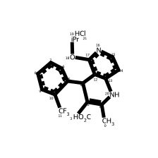 CC1=C(C(=O)O)C(c2ccccc2C(F)(F)F)c2c(ccnc2OC(C)C)N1.Cl